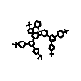 CC(C)(C)c1ccc(-c2cc(-c3ccc(C(C)(C)C)cc3)cc(-c3ccc4c(c3)c3cc(-c5cc(-c6ccc(C(C)(C)C)cc6)cc(-c6ccc(C(C)(C)C)cc6)c5)ccc3n4-c3ccccc3-c3ccccc3C(C)(C)C)c2)cc1